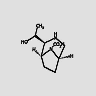 CC(O)[C@H]1NC[C@H]2CC[C@@H]1N2C(=O)O